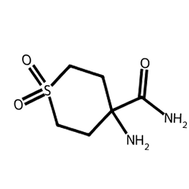 NC(=O)C1(N)CCS(=O)(=O)CC1